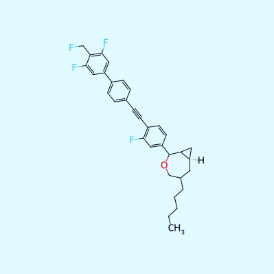 CCCCCC1COC(c2ccc(C#Cc3ccc(-c4cc(F)c(CF)c(F)c4)cc3)c(F)c2)C2C[C@H]2C1